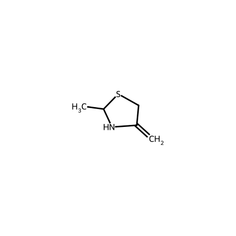 C=C1CSC(C)N1